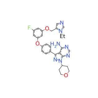 CCn1cncc1COc1cc(F)cc(Oc2ccc(-c3nn(C4CCOCC4)c4ncnc(N)c34)cc2)c1